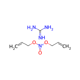 C=CCO[N+](=O)OCC=C.N=C(N)N